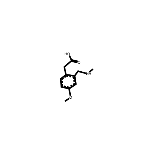 CNCc1cc(OC)ccc1CC(=O)O